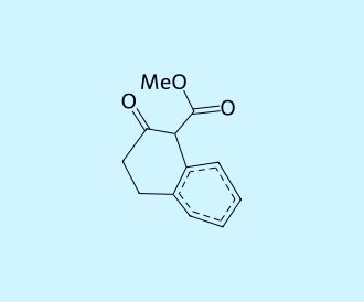 COC(=O)C1C(=O)CCc2ccccc21